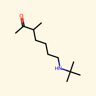 CC(=O)C(C)CCCCNC(C)(C)C